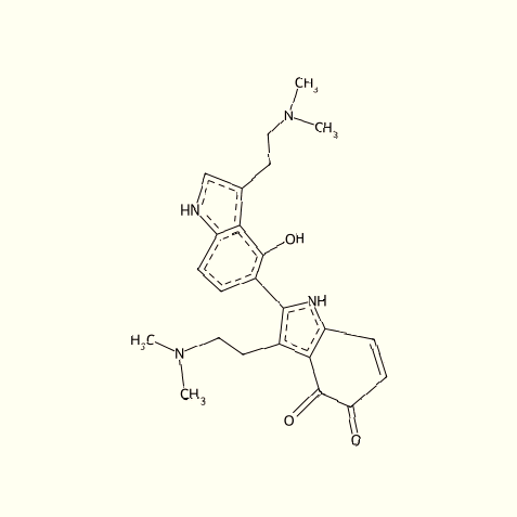 CN(C)CCc1c(-c2ccc3[nH]cc(CCN(C)C)c3c2O)[nH]c2c1C(=O)C(=O)C=C2